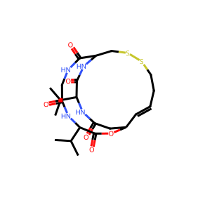 CC(C)C1NC(=O)CC2/C=C/CCSSCC(NC1=O)C(=O)NCC(=O)NC(C(C)C)C(=O)O2